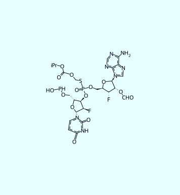 CC(C)OC(=O)OCSP(=O)(OC[C@H]1O[C@@H](n2cnc3c(N)ncnc32)[C@H](OC=O)[C@@H]1F)O[C@H]1[C@@H](F)[C@H](n2ccc(=O)[nH]c2=O)O[C@@H]1COPO